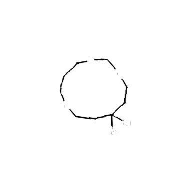 CCC1(Br)CCCCCCCCCCC1